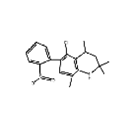 Cc1cc(-c2ccccc2[N+](=O)[O-])c(Cl)c2c1NC(C)(C)CC2C